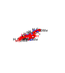 CCN[C@H]1CO[C@@H](O[C@H]2[C@H](O[C@H]3C#C/C=C\C#C[C@]4(O)CC(=O)C(NC(=O)OC)=C3/C4=C\CSSC(C)(C)CC(=O)N/N=C(\C)c3ccc(OC)cc3)O[C@H](C)[C@@H](NO[C@H]3C[C@H](O)[C@H](SC(=O)c4c(C)c(I)c(O[C@@H]5O[C@@H](C)[C@H](O)[C@@H](OC)[C@H]5O)c(OC)c4OC)[C@@H](C)O3)[C@@H]2O)C[C@@H]1OC